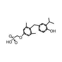 Cc1cc(OCS(=O)(=O)O)cc(C)c1Cc1ccc(O)c(C(C)C)c1